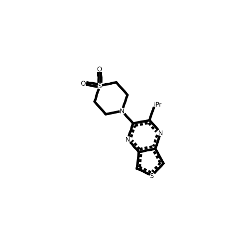 CC(C)c1nc2cscc2nc1N1CCS(=O)(=O)CC1